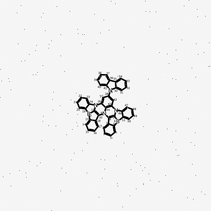 c1ccc2c(c1)B1C3=C2N2C4=C5B(c6ccccc64)c4ccccc4N5c4cc(-n5c6ccccc6c6ccccc65)cc(c42)N3c2ccccc21